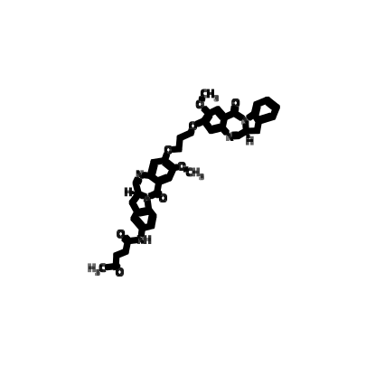 COc1cc2c(cc1OCCCOc1cc3c(cc1OC)C(=O)N1c4ccc(NC(=O)CCC(C)=O)cc4C[C@H]1C=N3)N=C[C@@H]1Cc3ccccc3N1C2=O